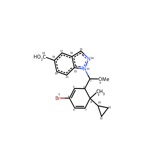 COC(C1C=C(Br)C=CC1(C)C1CC1)n1ncc2cc(C(=O)O)ccc21